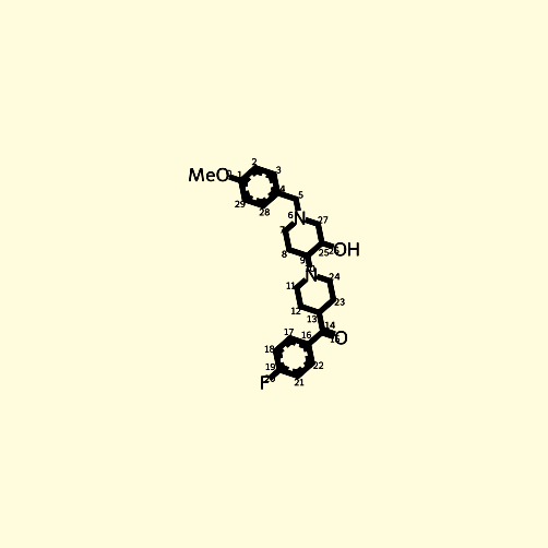 COc1ccc(CN2CCC(N3CCC(C(=O)c4ccc(F)cc4)CC3)C(O)C2)cc1